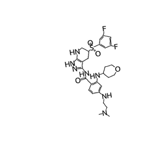 CN(C)CCNc1ccc(C(=O)Nc2n[nH]c3c2CC(S(=O)(=O)c2cc(F)cc(F)c2)CN3)c(NC2CCOCC2)c1